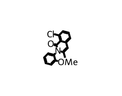 COc1ccccc1-n1c(C)cc2cccc(Cl)c2c1=O